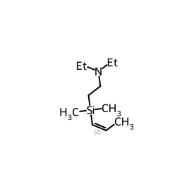 C/C=C\[Si](C)(C)CCN(CC)CC